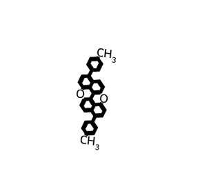 Cc1ccc(-c2ccc3oc4ccc5c(-c6ccc(C)cc6)ccc6oc7ccc2c3c7-c4c65)cc1